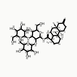 C=C1CC[C@@H]2[C@](I)(CCC3[C@](C)(C(=O)OC4OC(CO)C(O)C(OC5OC(CO)C(O)C(O)C5O)C4OC4OC(CO)C(O)[C@H](O)C4O)CCC[C@]32C)C1